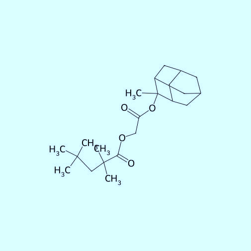 CC(C)(C)CC(C)(C)C(=O)OCC(=O)OC1(C)C2CC3CC(C2)CC1C3